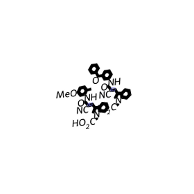 COc1ccc(C)c(NC(=O)/C(C#N)=C/c2cn(CC(=O)O)c3ccccc23)c1.N#C/C(=C\c1cn(CC(=O)O)c2ccccc12)C(=O)Nc1cccc(C(=O)c2ccccc2)c1